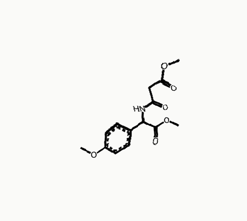 COC(=O)CC(=O)NC(C(=O)OC)c1ccc(OC)cc1